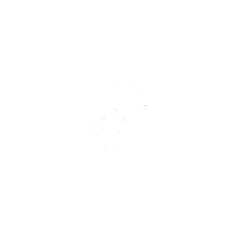 O=P(c1ccccc1)(c1ccccc1)c1cnc(-c2nc3ccccc3c3c2ccc2ccccc23)nc1